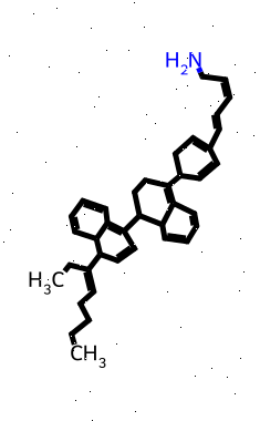 CCCC/C=C(\CC)C1C=CC(C2CCC(C3C=CC(/C=C/C=C\CN)=CC3)=C3C=CC=CC32)=C2C=CC=CC21